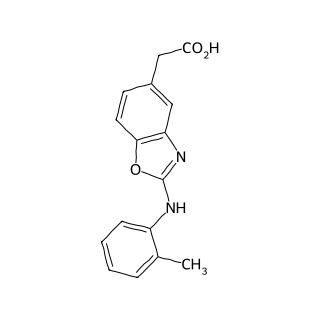 Cc1ccccc1Nc1nc2cc(CC(=O)O)ccc2o1